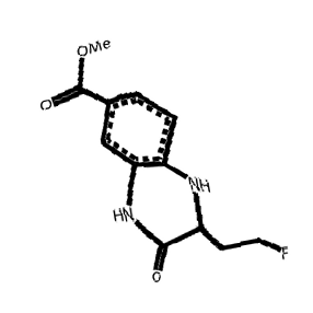 COC(=O)c1ccc2c(c1)NC(=O)C(CCF)N2